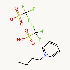 CCCC[n+]1ccccc1.O=S(=O)(O)C(F)(F)F.O=S(=O)([O-])C(F)(F)F